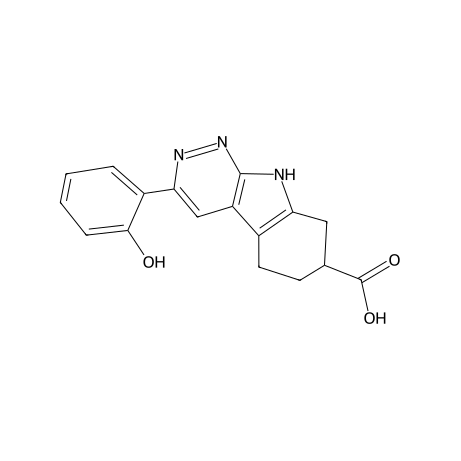 O=C(O)C1CCc2c([nH]c3nnc(-c4ccccc4O)cc23)C1